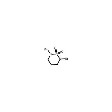 CCN1CCCN(C(C)(C)C)S1(=O)=O